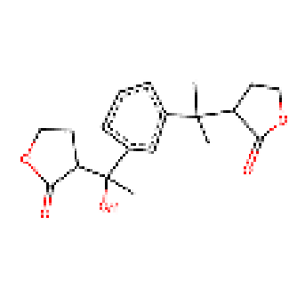 CC(C)(c1cccc(C(C)(O)C2CCOC2=O)c1)C1CCOC1=O